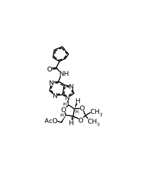 CC(=O)OC[C@H]1O[C@@H](n2cnc3c(NC(=O)c4ccccc4)ncnc32)[C@@H]2OC(C)(C)O[C@@H]21